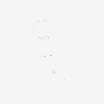 CCOC(=O)/N=N/C(=O)Oc1ccccc1